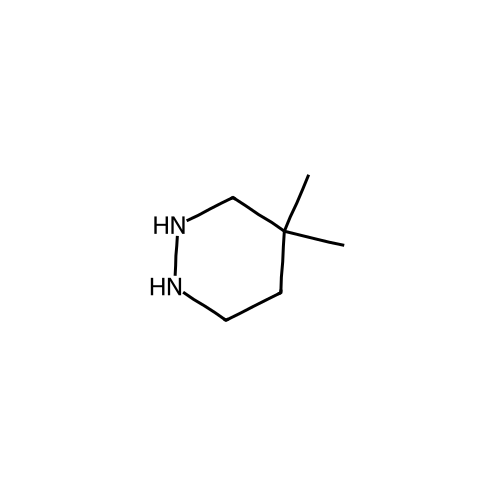 CC1(C)CCNNC1